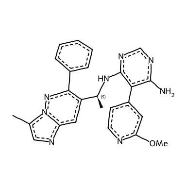 COc1cc(-c2c(N)ncnc2N[C@@H](C)c2cc3ncc(C)n3nc2-c2ccccc2)ccn1